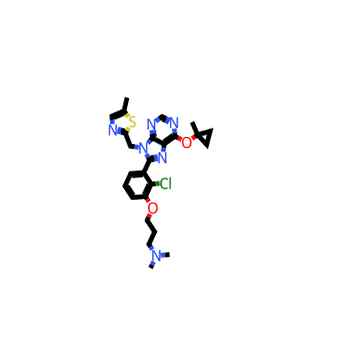 Cc1cnc(Cn2c(-c3cccc(OCCCN(C)C)c3Cl)nc3c(OC4(C)CC4)ncnc32)s1